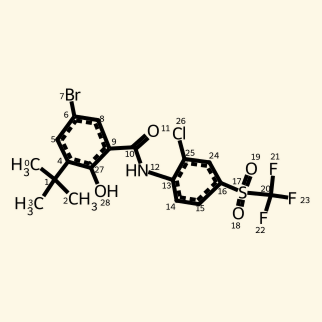 CC(C)(C)c1cc(Br)cc(C(=O)Nc2ccc(S(=O)(=O)C(F)(F)F)cc2Cl)c1O